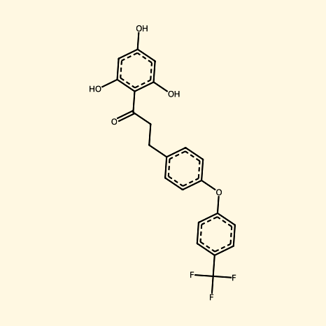 O=C(CCc1ccc(Oc2ccc(C(F)(F)F)cc2)cc1)c1c(O)cc(O)cc1O